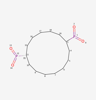 O=P(=O)C1CCCCCCC[C@H](P(=O)=O)CCCCC1